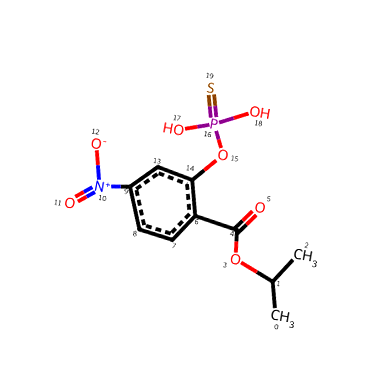 CC(C)OC(=O)c1ccc([N+](=O)[O-])cc1OP(O)(O)=S